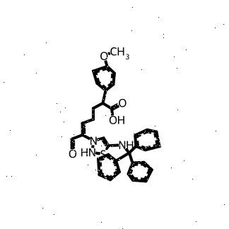 COc1ccc(C(CCC=C(C=O)N2C=C(NC(c3ccccc3)(c3ccccc3)c3ccccc3)SN2)C(=O)O)cc1